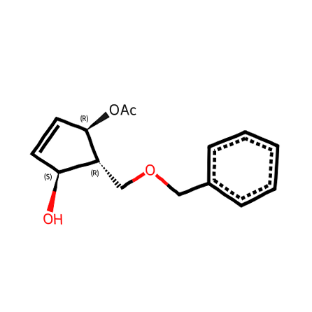 CC(=O)O[C@@H]1C=C[C@H](O)[C@H]1COCc1ccccc1